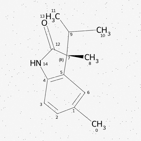 Cc1ccc2c(c1)[C@@](C)(C(C)C)C(=O)N2